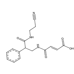 N#CCCNC(=O)C(CNC(=O)C=CC(=O)O)c1ccccc1